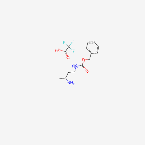 CC(N)CCNC(=O)OCc1ccccc1.O=C(O)C(F)(F)F